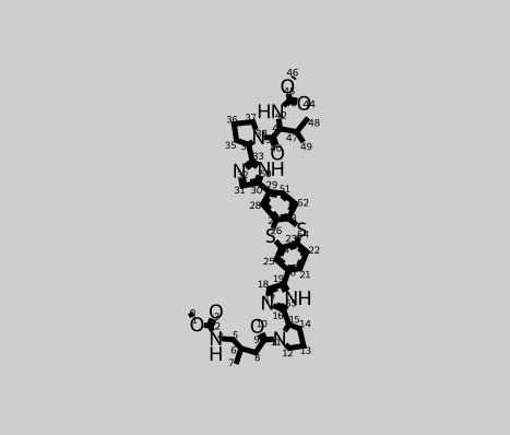 COC(=O)NCC(C)CC(=O)N1CCCC1c1ncc(-c2ccc3c(c2)Sc2cc(-c4cnc(C5CCCN5C(=O)C(NC(=O)OC)C(C)C)[nH]4)ccc2S3)[nH]1